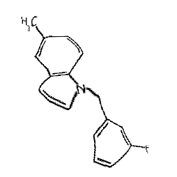 Cc1ccc2c(ccn2Cc2cccc(F)c2)c1